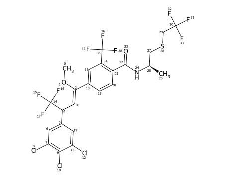 CO/C(=C\C(c1cc(Cl)c(Cl)c(Cl)c1)C(F)(F)F)c1ccc(C(=O)N[C@H](C)CSCC(F)(F)F)c(C(F)(F)F)c1